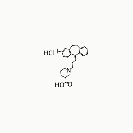 Cl.O=C(O)[C@@H]1CCCN(CCC=C2c3ccccc3CCc3cc(I)ccc32)C1